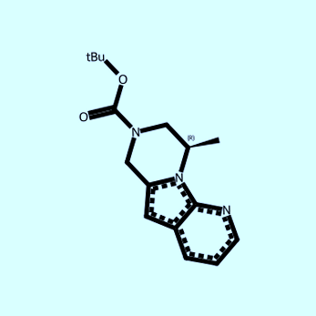 C[C@@H]1CN(C(=O)OC(C)(C)C)Cc2cc3cccnc3n21